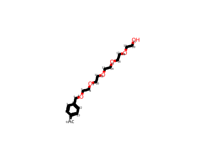 CC(=O)c1ccc(COCCOCCOCCOCCOCCO)cc1